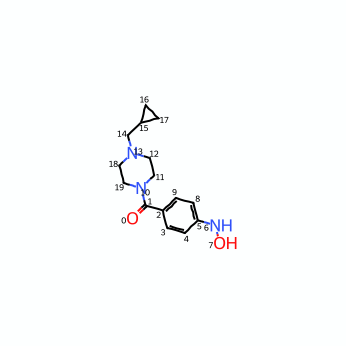 O=C(c1ccc(NO)cc1)N1CCN(CC2CC2)CC1